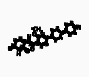 COc1cc(N2CCC(N3CCNCC3)CC2)ccc1C(=O)NC1CCC(=O)NC1=O